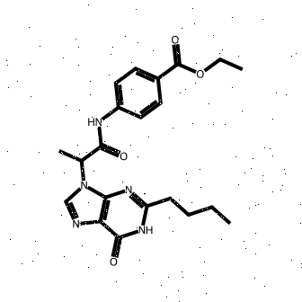 CCCCc1nc2c(ncn2C(C)C(=O)Nc2ccc(C(=O)OCC)cc2)c(=O)[nH]1